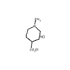 CCOC(=O)C1CCN(C)CC1.Cl